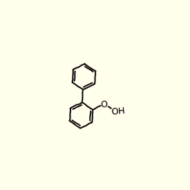 OOc1ccccc1-c1ccccc1